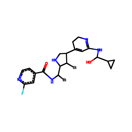 CCC(NC(=O)c1ccnc(F)c1)C1NCC(C2=CC(NC(O)C3CC3)=NCC2)C1CC